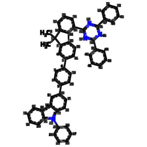 CC1(C)c2cc(-c3ccc(-c4ccc5c(c4)c4ccccc4n5-c4ccccc4)cc3)ccc2-c2c(-c3nc(-c4ccccc4)nc(-c4ccccc4)n3)cccc21